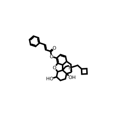 O=C(/C=C/c1ccccc1)OC1=C2OC3C(O)CCC4(O)C5CC(C=C1)C2C34CCN5CC1CCC1